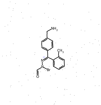 Cc1ccccc1/C(=N\N(Br)C=O)c1ccc(CN)cc1